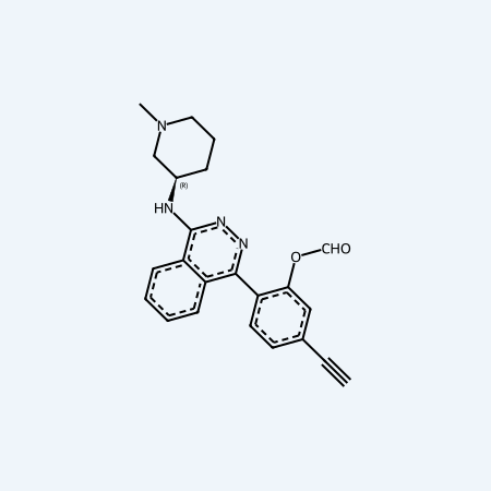 C#Cc1ccc(-c2nnc(N[C@@H]3CCCN(C)C3)c3ccccc23)c(OC=O)c1